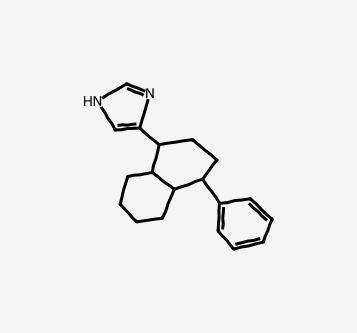 c1ccc(C2CCC(c3c[nH]cn3)C3CCCCC23)cc1